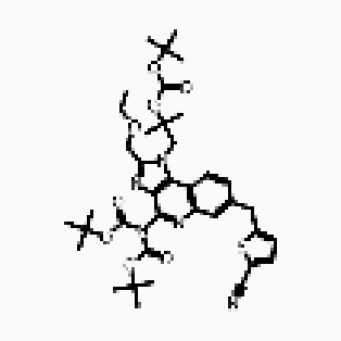 CCOCc1nc2c(N(C(=O)OC(C)(C)C)C(=O)OC(C)(C)C)nc3cc(Cc4ccc(C#N)s4)ccc3c2n1CC(C)(C)OC(=O)OC(C)(C)C